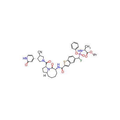 CC(C)OC(=O)[C@H](C)NP(=O)(Oc1ccccc1)C(F)c1ccc2sc(C(=O)N[C@H]3CCCC[C@H]4CC[C@@H](C(=O)N5C[C@H](c6cc[nH]c(=O)c6)[C@@H](C#N)C5)N4C3=O)cc2c1